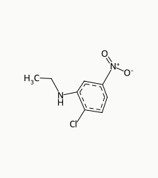 CCNc1cc([N+](=O)[O-])ccc1Cl